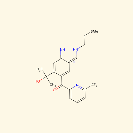 CSCCN/C=C1/C=C(C(=O)c2cccc(C(F)(F)F)n2)C(C(C)(C)O)=CC1=N